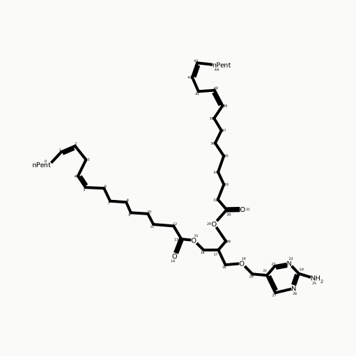 CCCCC/C=C\C/C=C\CCCCCCCC(=O)OCC(COCc1cnc(N)nc1)COC(=O)CCCCCCC/C=C\C/C=C\CCCCC